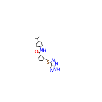 CC(C)c1ccc(NC(=O)c2cccc(CSc3ncnc4[nH]ncc34)c2)cc1